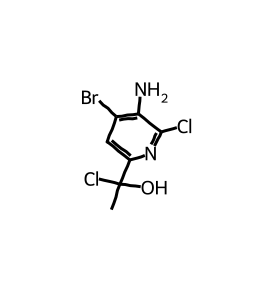 CC(O)(Cl)c1cc(Br)c(N)c(Cl)n1